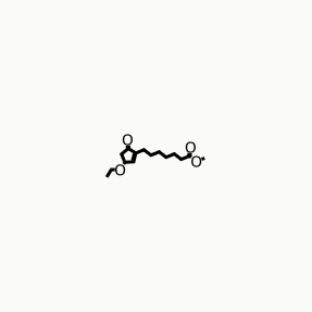 CCOC1C=C(CCCCCCC(=O)OC)C(=O)C1